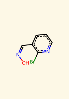 O/N=C\c1cccnc1Br